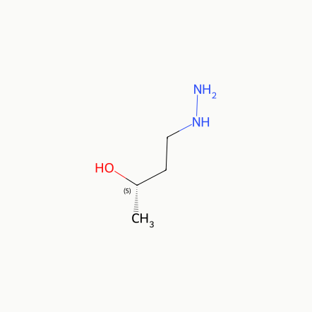 C[C@H](O)CCNN